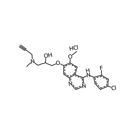 C#CCN(C)CC(O)COc1cc2ncnc(Nc3ccc(Cl)cc3F)c2cc1OC.Cl